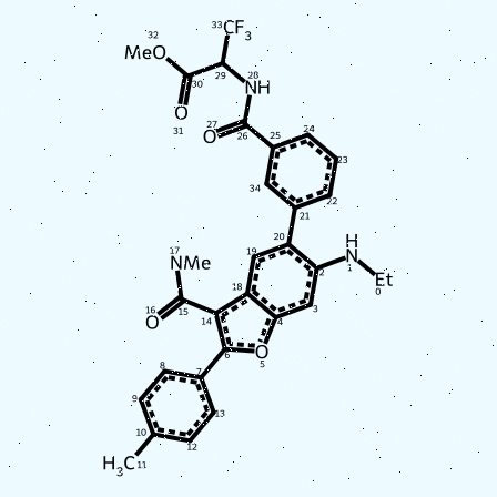 CCNc1cc2oc(-c3ccc(C)cc3)c(C(=O)NC)c2cc1-c1cccc(C(=O)NC(C(=O)OC)C(F)(F)F)c1